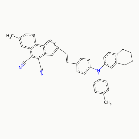 Cc1ccc(N(c2ccc(C=Cc3ccc4c(c3)c(C#N)c(C#N)c3cc(C)ccc34)cc2)c2ccc3c(c2)CCCC3)cc1